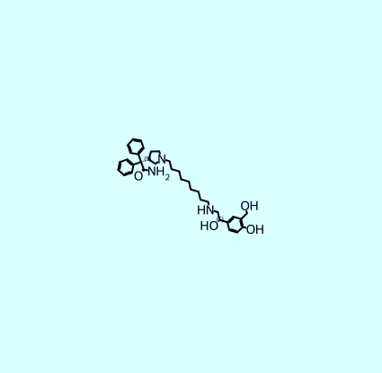 NC(=O)C(c1ccccc1)(c1ccccc1)[C@@H]1CCN(CCCCCCCCCNC[C@@H](O)c2ccc(O)c(CO)c2)C1